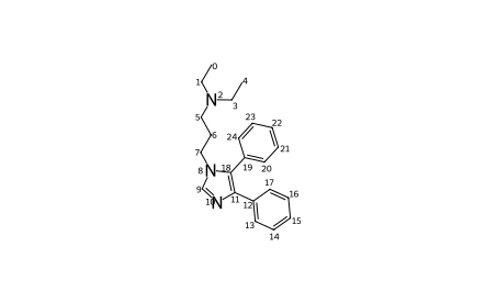 CCN(CC)CCCn1cnc(-c2ccccc2)c1-c1ccccc1